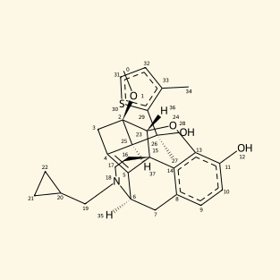 CO[C@@]12CC(=C3[C@H]4Cc5ccc(O)c6c5[C@@]3(CCN4CC3CC3)[C@H]1O6)[C@@H]2[C@](C)(O)c1sccc1C